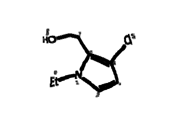 CCn1ccc(Cl)c1CO